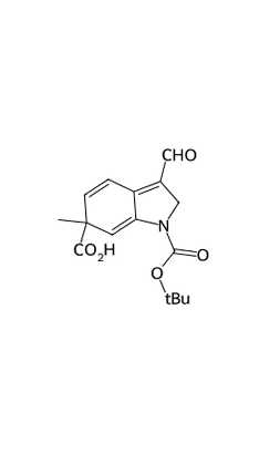 CC(C)(C)OC(=O)N1CC(C=O)=C2C=CC(C)(C(=O)O)C=C21